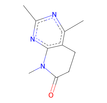 Cc1nc(C)c2c(n1)N(C)C(=O)CC2